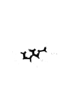 COC(=O)c1sc2nc(C)c(C)c(C)c2c1N